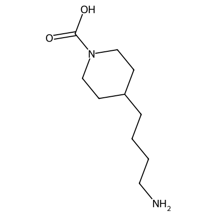 NCCCCC1CCN(C(=O)O)CC1